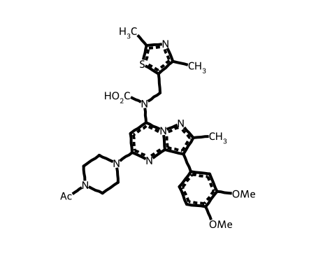 COc1ccc(-c2c(C)nn3c(N(Cc4sc(C)nc4C)C(=O)O)cc(N4CCN(C(C)=O)CC4)nc23)cc1OC